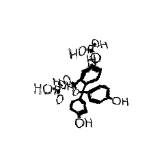 O=C1OC(c2ccc(O)cc2)(c2ccc(O)cc2)c2ccccc21.O=[PH](O)O.O=[PH](O)O